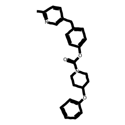 Cc1ccc(Cc2ccc(OC(=O)N3CCC(Oc4ccccc4)CC3)cc2)cn1